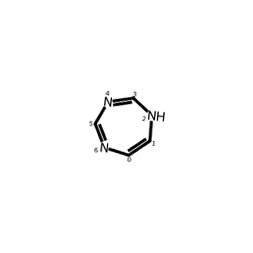 C1=CNC=NC=N1